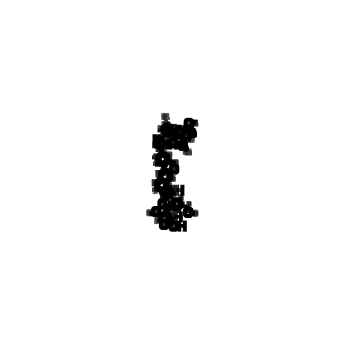 COC[C@H]1C[C@@H](c2nc3ccc4cc5c(cc4c3[nH]2)OCc2cc(-c3cnc([C@@H]4C[C@H](C)CN4C(=O)[C@@H](NC(=O)OC)[C@@H](C)OC)[nH]3)ccc2-5)N(C(=O)[C@@H](NC(=O)O)[C@@H](C)OC)C1